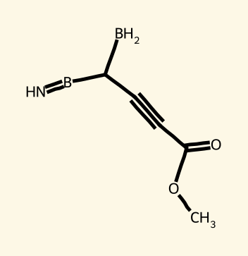 BC(B=N)C#CC(=O)OC